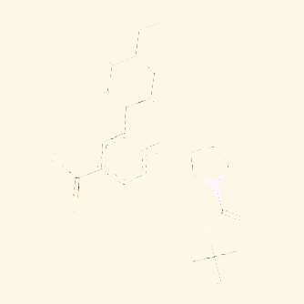 CCC1CCC(c2cc(C(=O)O)ccc2OC2CCN(C(=O)OC(C)(C)C)C2)CC1